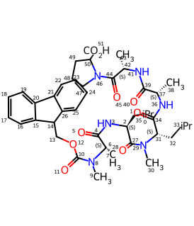 CC(C)C[C@H](NC(=O)[C@H](C)N(C)C(=O)OCC1c2ccccc2-c2ccccc21)C(=O)N(C)[C@@H](CC(C)C)C(=O)N[C@@H](C)C(=O)N[C@@H](C)C(=O)N1CCCC1C(=O)O